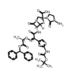 C[C@@H](O/N=C(\C(=O)N[C@@H]1C(=O)N2C[C@@](C(=O)O)(N3CCN(N)C3=O)S[C@H]12)c1csc(NC(=O)OC(C)(C)C)n1)C(=O)OC(c1ccccc1)c1ccccc1